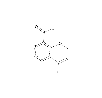 C=C(C)c1ccnc(C(=O)O)c1OC